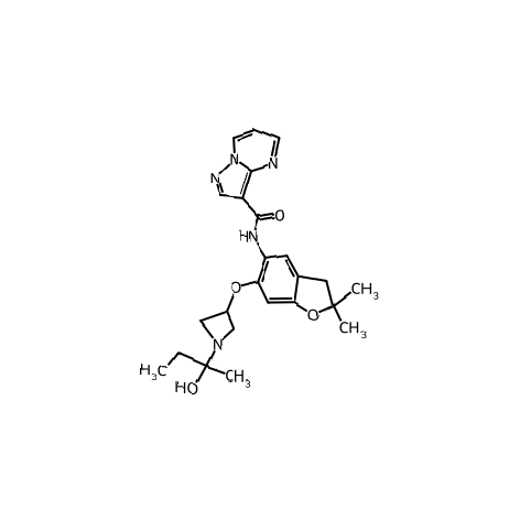 CCC(C)(O)N1CC(Oc2cc3c(cc2NC(=O)c2cnn4cccnc24)CC(C)(C)O3)C1